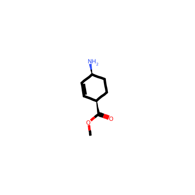 COC(=O)[C@H]1C=C[C@@H](N)CC1